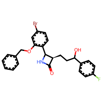 O=C1NC(c2ccc(Br)cc2OCc2ccccc2)[C@H]1CCC(O)c1ccc(F)cc1